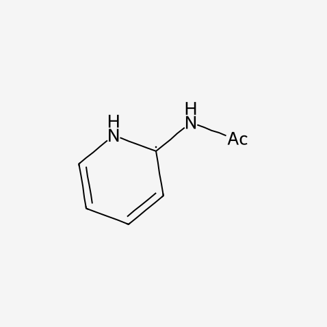 CC(=O)N[C]1C=CC=CN1